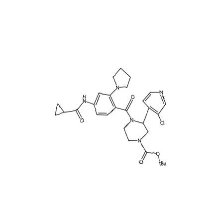 CC(C)(C)OC(=O)N1CCN(C(=O)c2ccc(NC(=O)C3CC3)cc2N2CCCC2)C(c2ccncc2Cl)C1